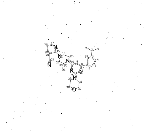 CC(C)c1cccc(-c2cc(N3CCN(c4ncccc4C#N)C[C@H]3C)nc(N3CCOCC3)n2)c1